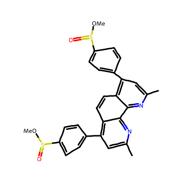 COS(=O)c1ccc(-c2cc(C)nc3c2ccc2c(-c4ccc(S(=O)OC)cc4)cc(C)nc23)cc1